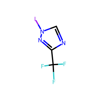 FC(F)(F)c1ncn(I)n1